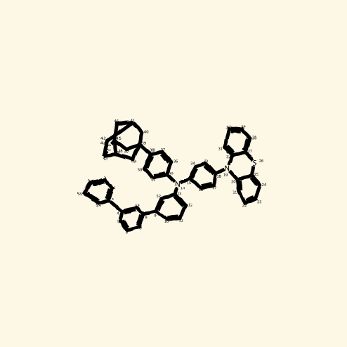 c1ccc(-c2cccc(-c3cccc(N(c4ccc(N5c6ccccc6Sc6ccccc65)cc4)c4ccc(C56CC7CC8CC(C7)(C5)C8C6)cc4)c3)c2)cc1